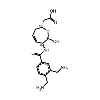 NCc1ccc(C(=O)N[C@H]2C=CC[C@H](CC(=O)O)OB2O)cc1CN